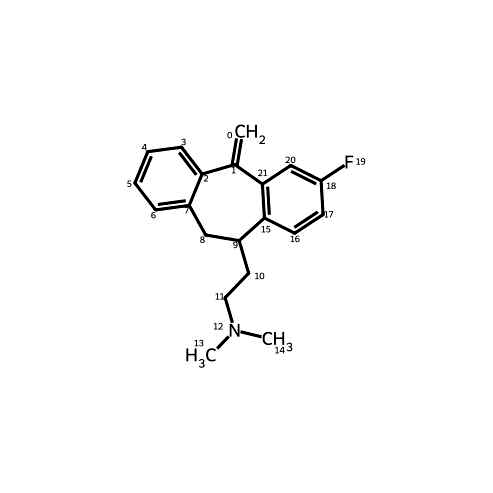 C=C1c2ccccc2CC(CCN(C)C)c2ccc(F)cc21